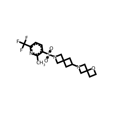 Cc1nc(C(F)(F)F)ccc1S(=O)(=O)N1CC2(CC(N3CC4(CCO4)C3)C2)C1